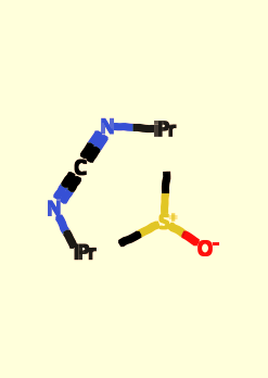 CC(C)N=C=NC(C)C.C[S+](C)[O-]